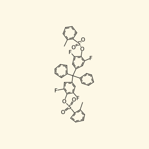 Cc1ccccc1S(=O)(=O)Oc1c(F)cc(C(c2ccccc2)(c2ccccc2)c2cc(F)c(OS(=O)(=O)c3ccccc3C)c(F)c2)cc1F